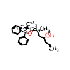 C=CC[C@H](O)C[C@H](C)CO[Si](c1ccccc1)(c1ccccc1)C(C)(C)C